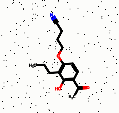 CCCc1c(OCCCC#N)ccc(C(C)=O)c1O